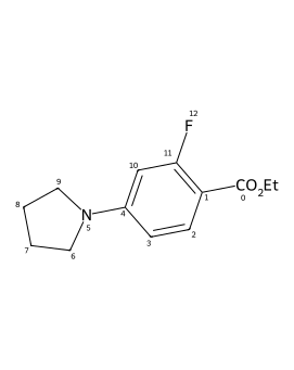 CCOC(=O)c1ccc(N2CCCC2)cc1F